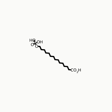 O=C(O)CCCCCCCCCCCCCCOP(=O)(O)O